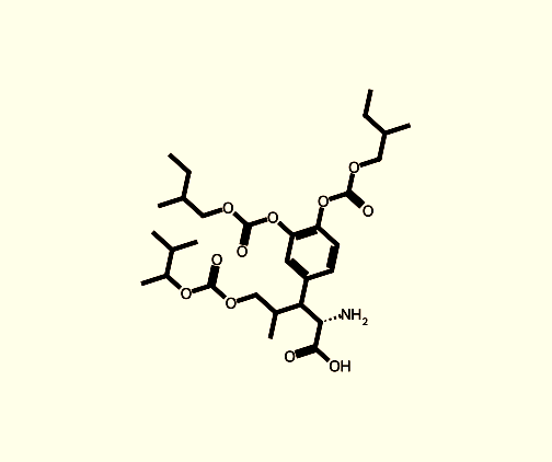 CCC(C)COC(=O)Oc1ccc(C(C(C)COC(=O)OC(C)C(C)C)[C@H](N)C(=O)O)cc1OC(=O)OCC(C)CC